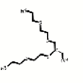 OC[C@@H](CSCCSCCS)SCCSCCS